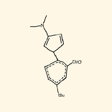 CN(C)C1=CC(c2ccc(C(C)(C)C)cc2C=O)C=C1